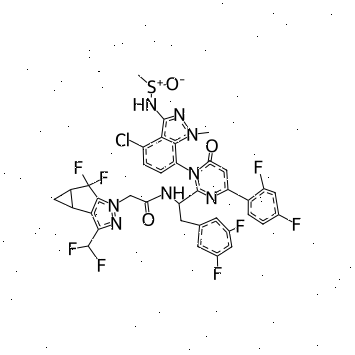 Cn1nc(N[S+](C)[O-])c2c(Cl)ccc(-n3c(C(Cc4cc(F)cc(F)c4)NC(=O)Cn4nc(C(F)F)c5c4C(F)(F)C4CC54)nc(-c4ccc(F)cc4F)cc3=O)c21